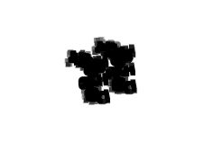 CC(C)N1CCC(NS(=O)(=O)CCNC(=O)c2cccc(Cl)c2)CC1.CC(C)N1CCC(NS(=O)(=O)CCNC(=O)c2cccc(Cl)c2)CC1